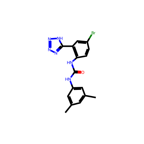 Cc1cc(C)cc(NC(=O)Nc2ccc(Br)cc2-c2nnn[nH]2)c1